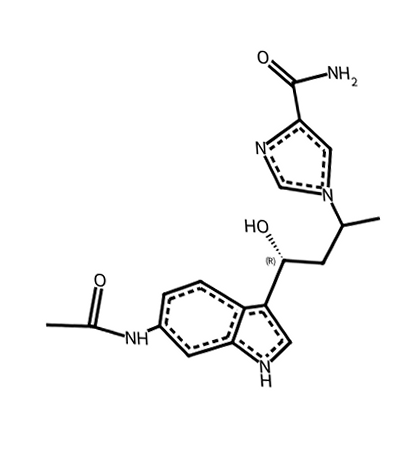 CC(=O)Nc1ccc2c([C@H](O)CC(C)n3cnc(C(N)=O)c3)c[nH]c2c1